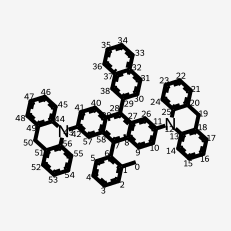 Cc1ccccc1-c1c2ccc(N3c4ccccc4Cc4ccccc43)cc2c(-c2ccc3ccccc3c2)c2ccc(N3c4ccccc4Cc4ccccc43)cc12